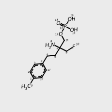 Cc1ccc(CCC(N)(CF)COP(=O)(O)O)cc1